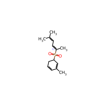 CC(C)=C/C=C(\C)S(=O)(=O)C1C=C(C)C=CC1